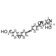 C[C@H](O)c1nccn1Cc1cc(-c2ccc(C#Cc3ccc(OC4CCC(C(=O)O)CC4)cc3)cc2)on1